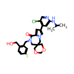 CC(C)Nc1cc(-c2cc3n(c2)CC2(COCOC2)CN(Cc2cc(F)ccc2CO)C3=O)c(Cl)cn1